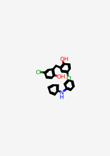 Oc1ccc(Cl)cc1Cc1cc(Cl)ccc1O.c1ccc(Nc2ccccc2)cc1